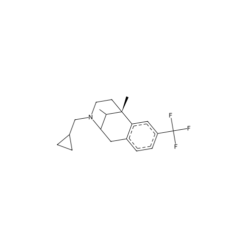 CC1C2Cc3ccc(C(F)(F)F)cc3[C@@]1(C)CCN2CC1CC1